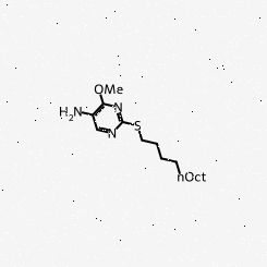 CCCCCCCCCCCCSc1ncc(N)c(OC)n1